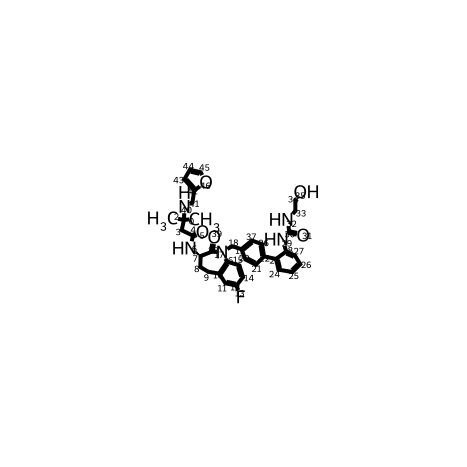 CC(C)(CC(=O)N[C@@H]1CCc2cc(F)ccc2N(Cc2ccc(-c3ccccc3NC(=O)NCCO)cc2)C1=O)NCc1ccco1